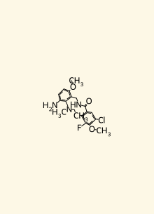 CCN(C)c1c(N)ccc(OC)c1CNC(=O)c1cc(F)c(OC)c(Cl)c1